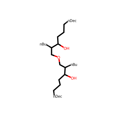 CCCCCCCCCCCCCC(O)C(CCCC)COCC(CCCC)C(O)CCCCCCCCCCCCC